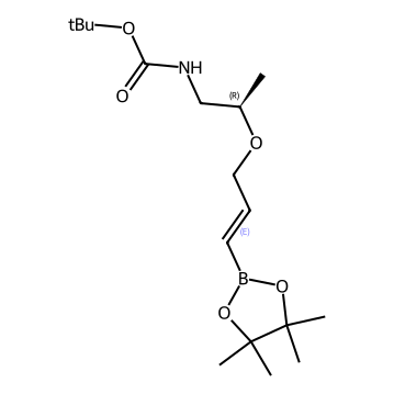 C[C@H](CNC(=O)OC(C)(C)C)OC/C=C/B1OC(C)(C)C(C)(C)O1